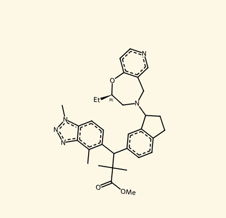 CC[C@@H]1CN(C2CCc3ccc(C(c4ccc5c(nnn5C)c4C)C(C)(C)C(=O)OC)cc32)Cc2cnccc2O1